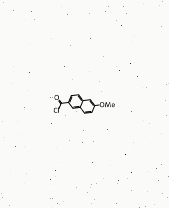 COc1ccc2cc(C(=O)Cl)ccc2c1